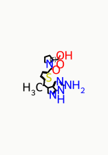 CC(c1ccc(C(=O)N2CCC[C@H]2C(=O)O)s1)C1CN=C2NC(N)=NC=C21